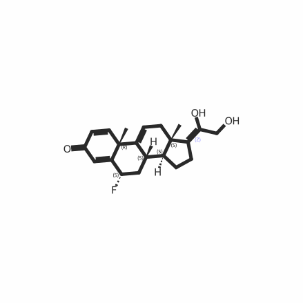 C[C@]12C=CC(=O)C=C1[C@@H](F)C[C@@H]1C2=CC[C@]2(C)/C(=C(\O)CO)CC[C@@H]12